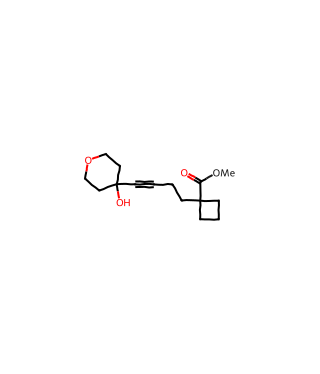 COC(=O)C1(CCC#CC2(O)CCOCC2)CCC1